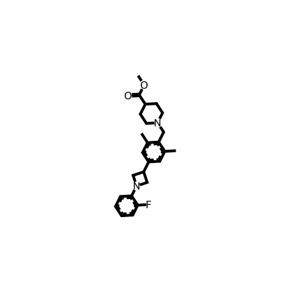 COC(=O)C1CCN(Cc2c(C)cc(C3CN(c4ccccc4F)C3)cc2C)CC1